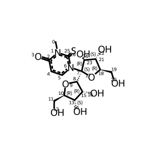 Cn1c(=O)ccn([C@]2(C3O[C@H](CO)[C@@H](O)[C@H]3O)O[C@H](CO)[C@@H](O)[C@H]2O)c1=S